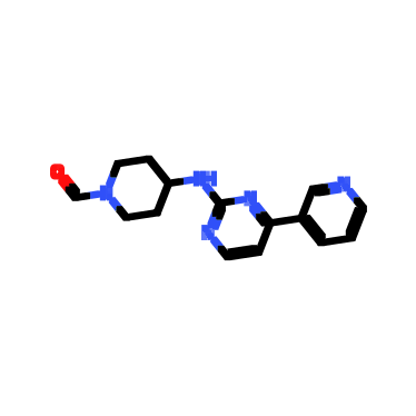 O=CN1CCC(Nc2nccc(-c3cccnc3)n2)CC1